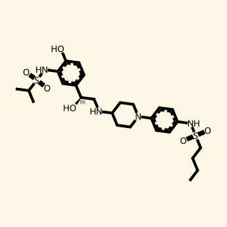 CCCCS(=O)(=O)Nc1ccc(N2CCC(NC[C@@H](O)c3ccc(O)c(NS(=O)(=O)C(C)C)c3)CC2)cc1